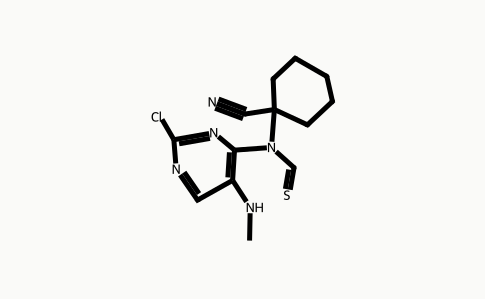 CNc1cnc(Cl)nc1N(C=S)C1(C#N)CCCCC1